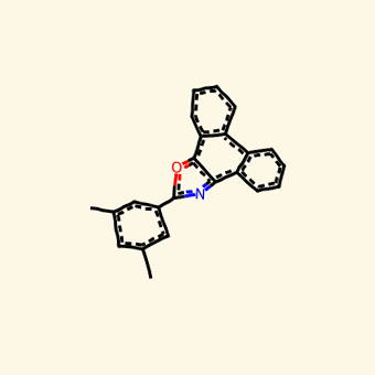 Cc1cc(C)cc(-c2nc3c4ccccc4c4ccccc4c3o2)c1